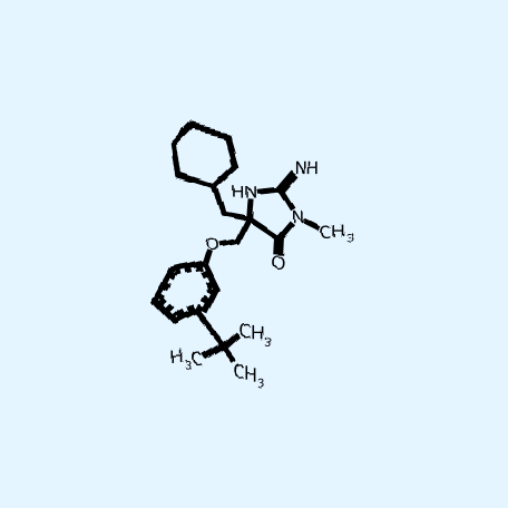 CN1C(=N)NC(COc2cccc(C(C)(C)C)c2)(CC2CCCCC2)C1=O